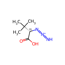 CC(C)(C)[C@H](N=[N+]=N)C(=O)O